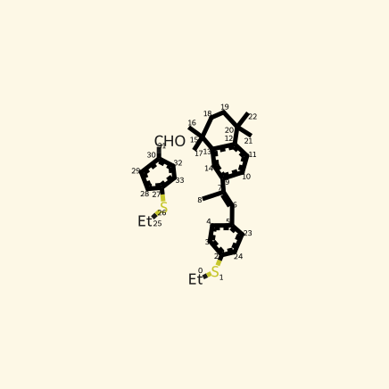 CCSc1ccc(C=C(C)c2ccc3c(c2)C(C)(C)CCC3(C)C)cc1.CCSc1ccc(C=O)cc1